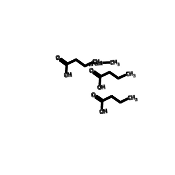 CCCC(=O)O.CCCC(=O)O.CCCC(=O)O.CCCCCC